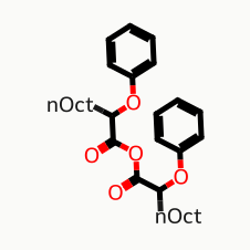 CCCCCCCCC(Oc1ccccc1)C(=O)OC(=O)C(CCCCCCCC)Oc1ccccc1